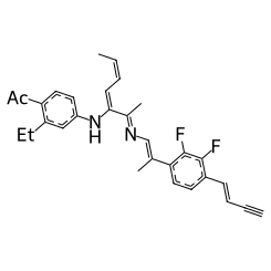 C#C/C=C/c1ccc(/C(C)=C/N=C(C)/C(=C\C=C/C)Nc2ccc(C(C)=O)c(CC)c2)c(F)c1F